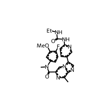 CCNC(=O)Nc1ccc(-c2cnc3c(C)nc(C(=O)N(C)c4ccc(F)c(OC)c4)cn23)cn1